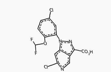 O=C(O)c1nn(-c2cc(Cl)ccc2OC(F)F)c2cc(Cl)ncc12